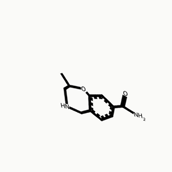 CC1CNCc2ccc(C(N)=O)cc2O1